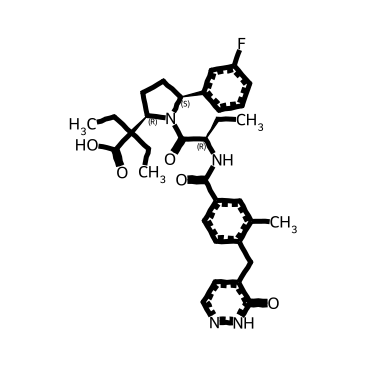 CC[C@@H](NC(=O)c1ccc(Cc2ccn[nH]c2=O)c(C)c1)C(=O)N1[C@H](c2cccc(F)c2)CC[C@@H]1C(CC)(CC)C(=O)O